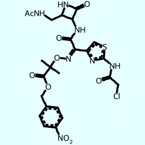 CC(=O)NCC1NC(=O)C1NC(=O)/C(=N\OC(C)(C)C(=O)OCc1ccc([N+](=O)[O-])cc1)c1csc(NC(=O)CCl)n1